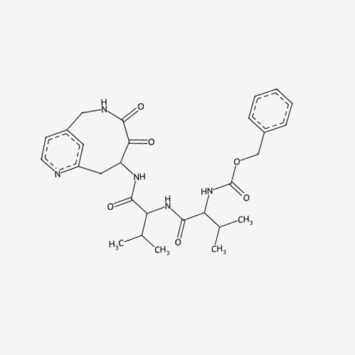 CC(C)C(NC(=O)OCc1ccccc1)C(=O)NC(C(=O)NC1Cc2cc(ccn2)CNC(=O)C1=O)C(C)C